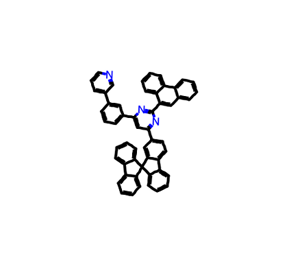 c1cncc(-c2cccc(-c3cc(-c4ccc5c(c4)C4(c6ccccc6-c6ccccc64)c4ccccc4-5)nc(-c4cc5ccccc5c5ccccc45)n3)c2)c1